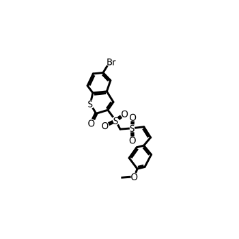 COc1ccc(/C=C\S(=O)(=O)CS(=O)(=O)c2cc3cc(Br)ccc3sc2=O)cc1